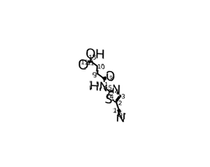 N#Cc1cnc(NC(=O)CCC(=O)O)s1